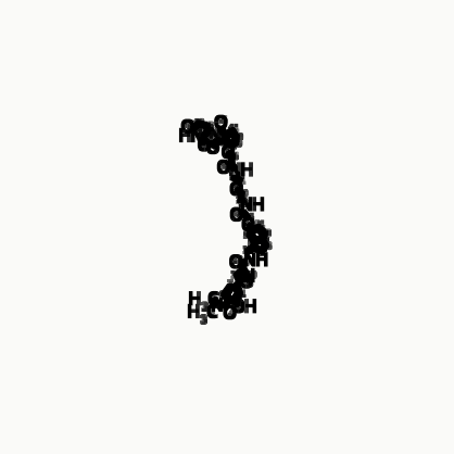 CN(C)C(=O)c1ccc(-c2cc(C(=O)NCC3CCc4ccc(OCC(=O)NCCOCCNC(=O)COc5cccc6c5C(=O)N(C5CCC(=O)NC5=O)C6=O)cc43)no2)cc1O